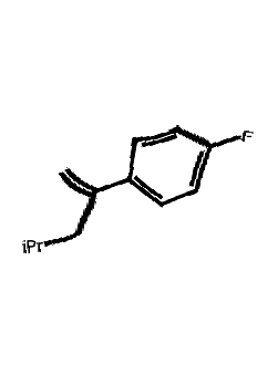 C=C(CC(C)C)c1ccc(F)cc1